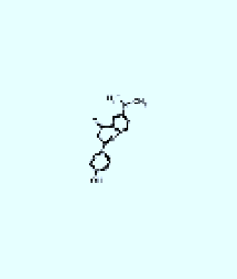 CN(C)c1ccc2c(c1)C(=O)CC(c1ccc(O)cc1)=N2